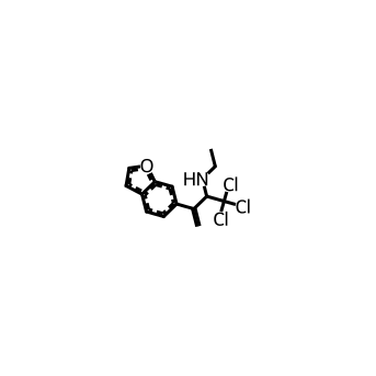 C=C(c1ccc2ccoc2c1)C(NCC)C(Cl)(Cl)Cl